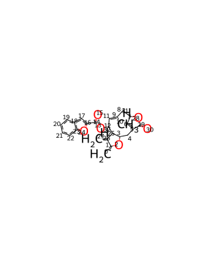 C=C1OC2CC3=C[C@@H](C/C(C)=C/[C@@H](OC(=O)c4cc5ccccc5o4)[C@@H]2C1=C)OC3=O